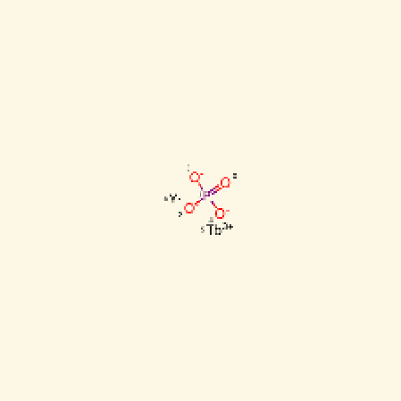 O=P([O-])([O-])[O-].[Tb+3].[Y]